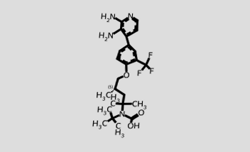 C[C@H](COc1ccc(-c2ccnc(N)c2N)cc1C(F)(F)F)CC(C)(C)N(C(=O)O)C(C)(C)C